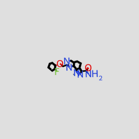 Cn1nc(C(N)=O)c2ccc3cnc(COc4ccccc4F)nc3c21